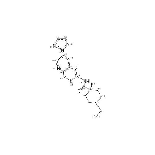 CC(C)CN1CCC(F)(C(=O)Nc2cc3cc(-n4nccn4)cnc3cn2)CC1